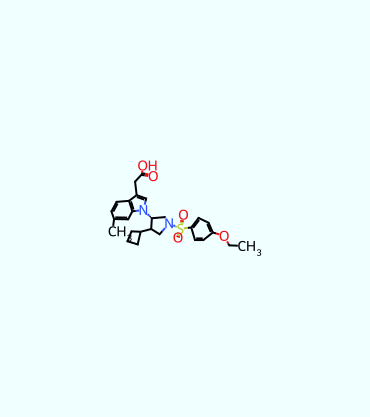 CCOc1ccc(S(=O)(=O)N2CC(C3CCC3)[C@@H](n3cc(CC(=O)O)c4ccc(C)cc43)C2)cc1